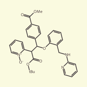 COC(=O)c1ccc(C(Oc2ccccc2CNc2ccccn2)C(C(=O)OC(C)(C)C)c2cccc[n+]2[O-])cc1